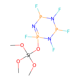 CO[Si](OC)(OC)OP1(F)=NP(F)N(F)P(F)N1F